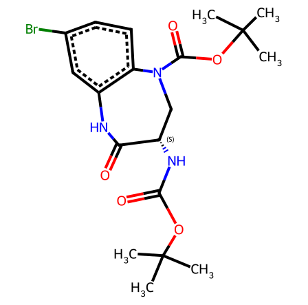 CC(C)(C)OC(=O)N[C@H]1CN(C(=O)OC(C)(C)C)c2ccc(Br)cc2NC1=O